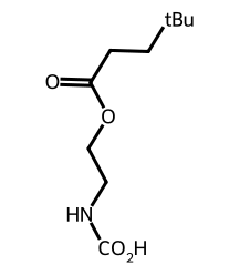 CC(C)(C)CCC(=O)OCCNC(=O)O